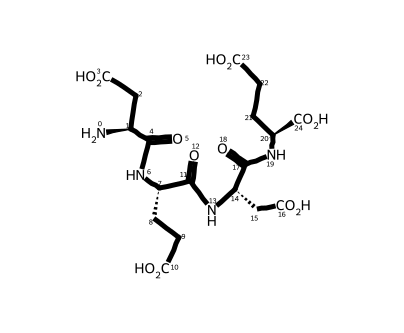 N[C@@H](CC(=O)O)C(=O)N[C@@H](CCC(=O)O)C(=O)N[C@@H](CC(=O)O)C(=O)N[C@@H](CCC(=O)O)C(=O)O